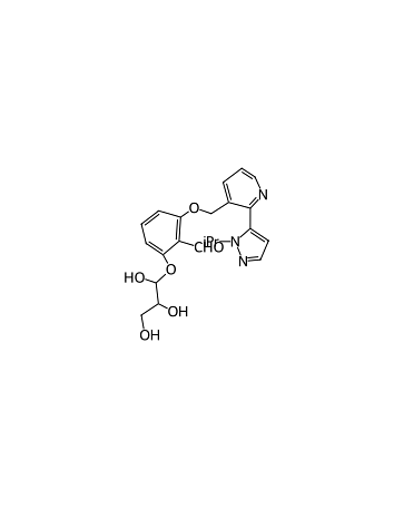 CC(C)n1nccc1-c1ncccc1COc1cccc(OC(O)C(O)CO)c1C=O